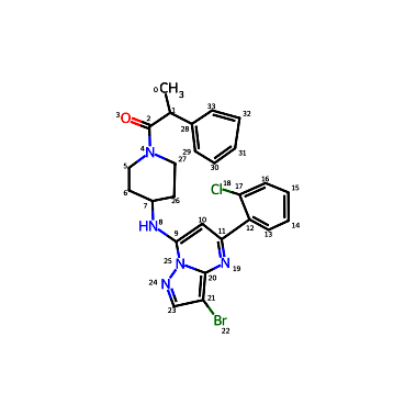 CC(C(=O)N1CCC(Nc2cc(-c3ccccc3Cl)nc3c(Br)cnn23)CC1)c1ccccc1